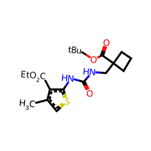 CCOC(=O)c1c(C)csc1NC(=O)NCC1(C(=O)OC(C)(C)C)CCC1